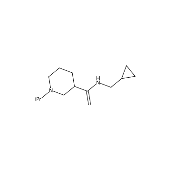 C=C(NCC1CC1)C1CCCN(C(C)C)C1